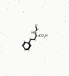 O=C(O)[C@H](CCC1=C=C=CC=C1)NCI